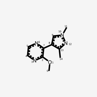 COc1nccnc1-c1cn(C)nc1C